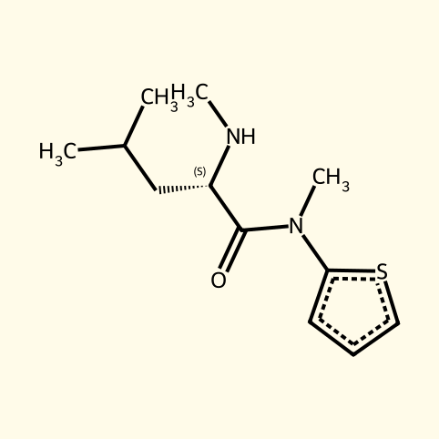 CN[C@@H](CC(C)C)C(=O)N(C)c1cccs1